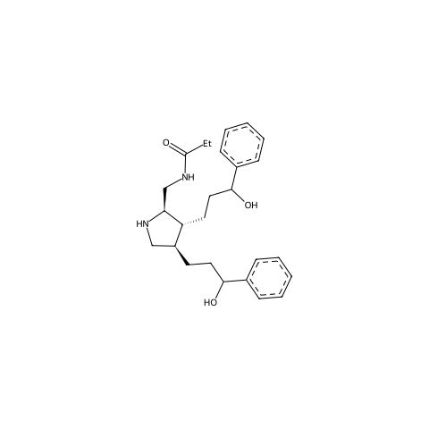 CCC(=O)NC[C@@H]1NC[C@H](CCC(O)c2ccccc2)[C@H]1CCC(O)c1ccccc1